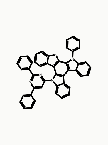 c1ccc(-c2cc(-n3c4ccccc4c4c5c6ccccc6n(-c6ccccc6)c5c5sc6ccccc6c5c43)nc(-c3ccccc3)n2)cc1